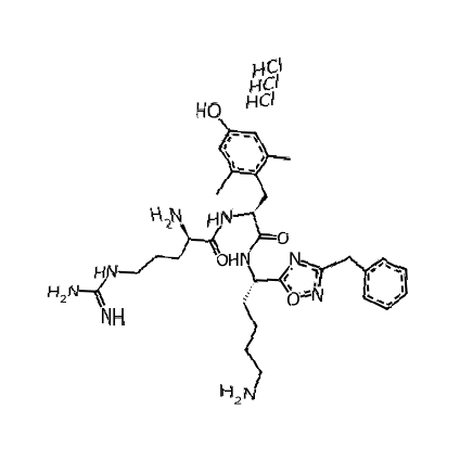 Cc1cc(O)cc(C)c1C[C@H](NC(=O)[C@H](N)CCCNC(=N)N)C(=O)N[C@@H](CCCCN)c1nc(Cc2ccccc2)no1.Cl.Cl.Cl